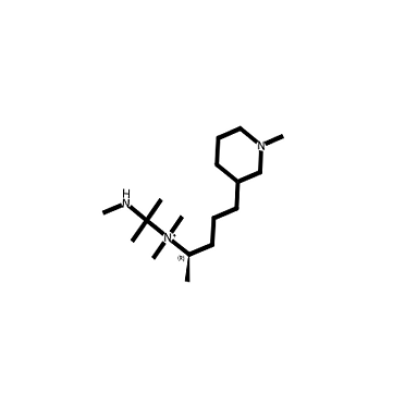 CNC(C)(C)[N+](C)(C)[C@H](C)CCCC1CCCN(C)C1